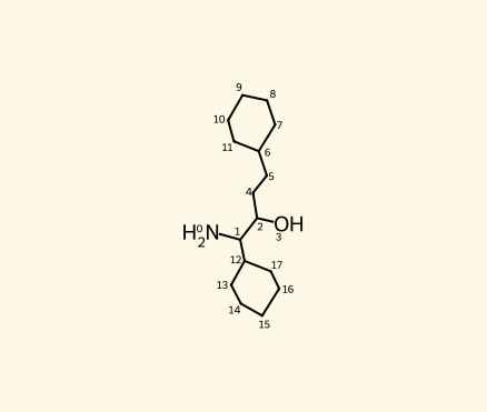 NC(C(O)CCC1CCCCC1)C1CCCCC1